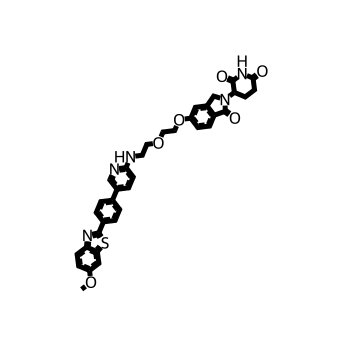 COc1ccc2nc(-c3ccc(-c4ccc(NCCOCCOc5ccc6c(c5)CN(C5CCC(=O)NC5=O)C6=O)nc4)cc3)sc2c1